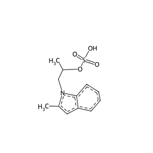 Cc1cc2ccccc2n1CC(C)OS(=O)(=O)O